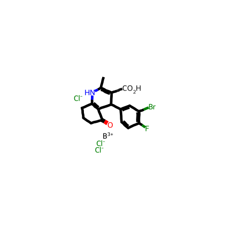 CC1=C(C(=O)O)C(c2ccc(F)c(Br)c2)C2=C(CCCC2=O)N1.[B+3].[Cl-].[Cl-].[Cl-]